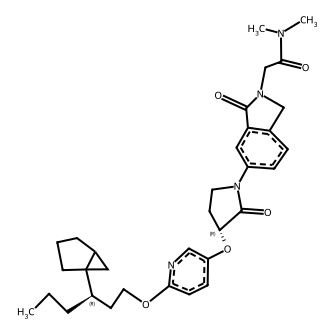 CCC[C@H](CCOc1ccc(O[C@@H]2CCN(c3ccc4c(c3)C(=O)N(CC(=O)N(C)C)C4)C2=O)cn1)C12CCCC1C2